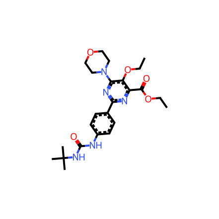 CCOC(=O)c1nc(-c2ccc(NC(=O)NC(C)(C)C)cc2)nc(N2CCOCC2)c1OCC